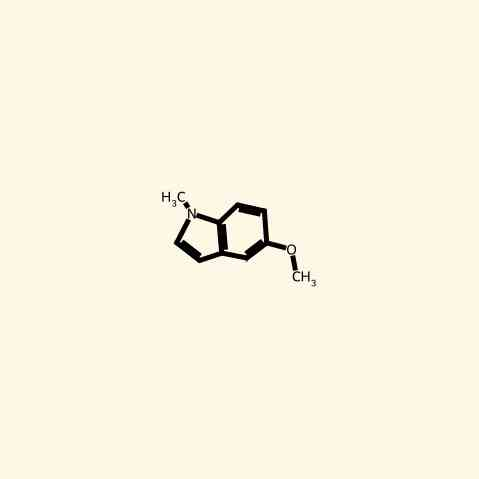 COc1[c]c2ccn(C)c2cc1